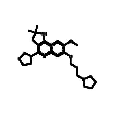 COc1cc2c3c(c(C4CCOC4)nc2cc1OCCCN1CCCC1)CC(C)(C)N3